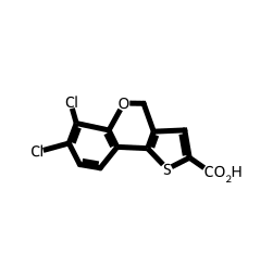 O=C(O)c1cc2c(s1)-c1ccc(Cl)c(Cl)c1OC2